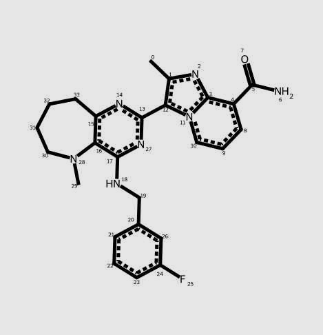 Cc1nc2c(C(N)=O)cccn2c1-c1nc2c(c(NCc3cccc(F)c3)n1)N(C)CCCC2